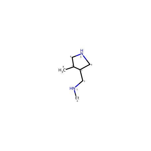 CCNCC1CNCC1C